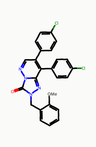 COc1ccccc1Cn1nc2c(-c3ccc(Cl)cc3)c(-c3ccc(Cl)cc3)cnn2c1=O